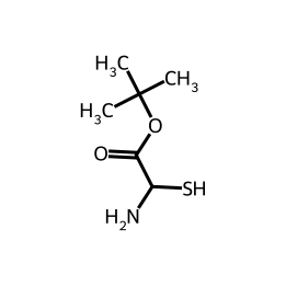 CC(C)(C)OC(=O)C(N)S